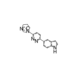 c1cc2cc(-c3ccc(N4CCN5CCC4CC5)nn3)ccc2[nH]1